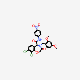 COc1ccc(CN2C(=O)COc3c(ccc(Cl)c3Cl)C2C(=O)Nc2ccc([N+](=O)[O-])cc2)c(OC)c1